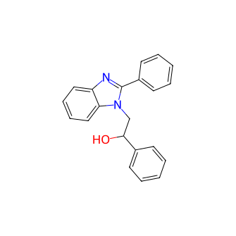 OC(Cn1c(-c2ccccc2)nc2ccccc21)c1ccccc1